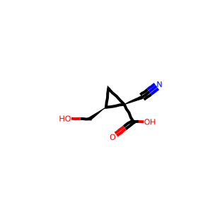 N#C[C@]1(C(=O)O)C[C@@H]1CO